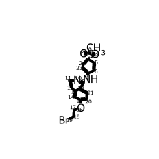 CS(=O)(=O)c1ccc(Nc2nccc3cc(OCCBr)ccc23)cc1